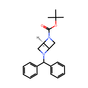 CC(C)(C)OC(=O)N1CC2[C@H]1CN2C(c1ccccc1)c1ccccc1